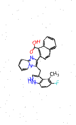 Cc1c(F)ccc2[nH]cc(Cc3c(-c4ccc5ccccc5c4C(=O)O)nc4ccccn34)c12